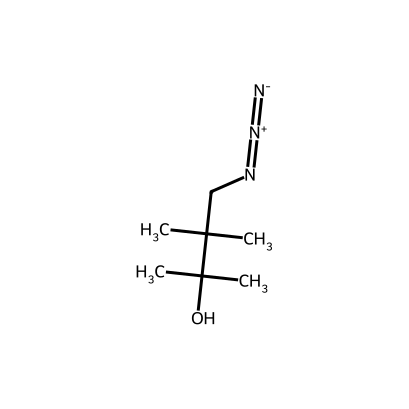 CC(C)(O)C(C)(C)CN=[N+]=[N-]